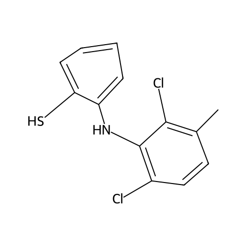 Cc1ccc(Cl)c(Nc2ccccc2S)c1Cl